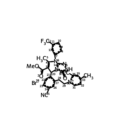 COC(=O)C1=C(C)N(c2cccc(C(F)(F)F)c2)c2n[nH]c(=O)n2C1c1ccc(C#N)cc1CC[n+]1ccc(C)cc1C.[Br-]